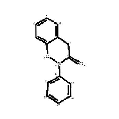 O=C1Cc2ccccc2ON1c1ccccc1